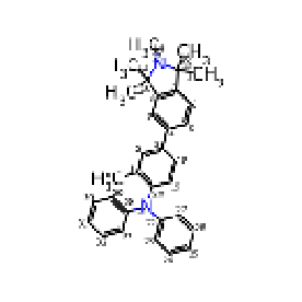 Cc1cc(-c2ccc3c(c2)C(C)(C)N(C)C3(C)C)ccc1N(c1ccccc1)c1ccccc1